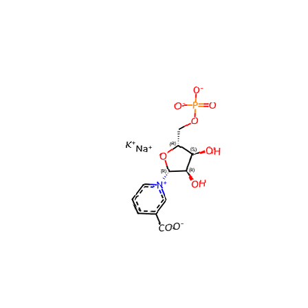 O=C([O-])c1ccc[n+]([C@@H]2O[C@H](COP(=O)([O-])[O-])[C@@H](O)[C@H]2O)c1.[K+].[Na+]